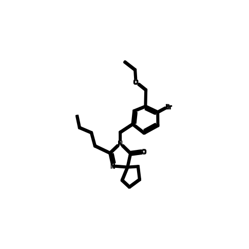 CCCCC1=NC2(CCCC2)C(=O)N1Cc1ccc(Br)c(COCC)c1